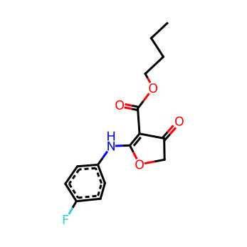 CCCCOC(=O)C1=C(Nc2ccc(F)cc2)OCC1=O